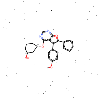 COc1ccc(-c2c(-c3ccccc3)oc3ncnc(O[C@H]4CCC[C@H](O)C4)c23)cc1